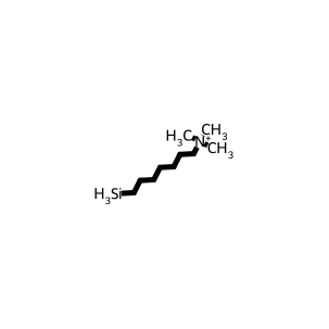 C[N+](C)(C)CCCCCCC[SiH3]